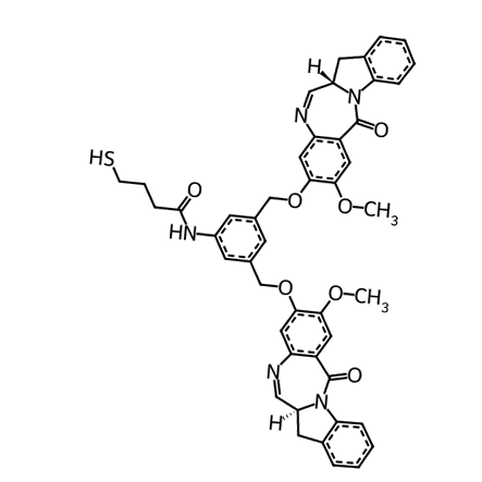 COc1cc2c(cc1OCc1cc(COc3cc4c(cc3OC)C(=O)N3c5ccccc5C[C@H]3C=N4)cc(NC(=O)CCCS)c1)N=C[C@@H]1Cc3ccccc3N1C2=O